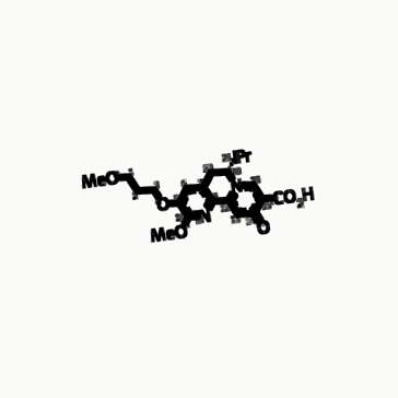 COCCCOc1cc2c(nc1OC)-c1cc(=O)c(C(=O)O)cn1[C@@H](C(C)C)C2